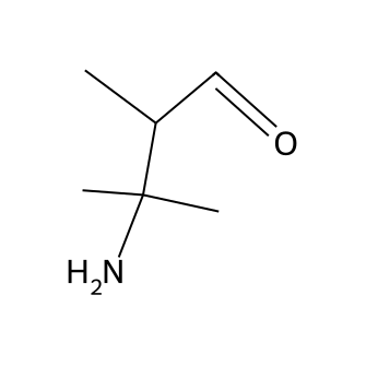 CC(C=O)C(C)(C)N